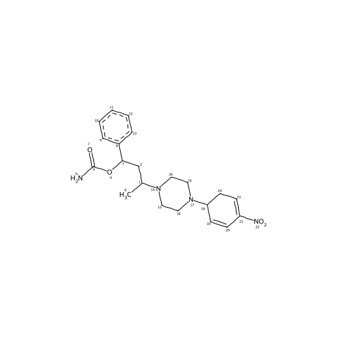 CC(CC(OC(N)=O)c1ccccc1)N1CCN(C2C=CC([N+](=O)[O-])=CC2)CC1